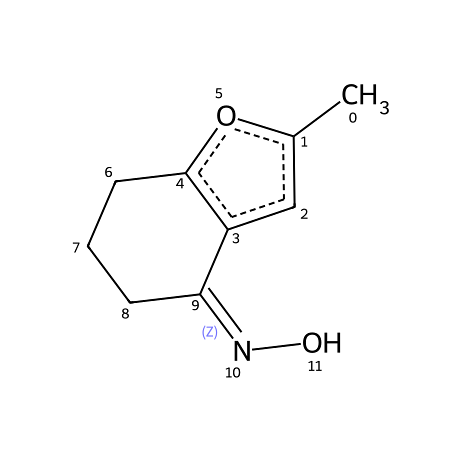 Cc1cc2c(o1)CCC/C2=N/O